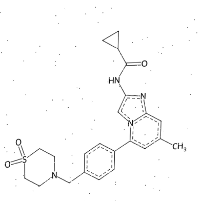 Cc1cc(-c2ccc(CN3CCS(=O)(=O)CC3)cc2)n2cc(NC(=O)C3CC3)nc2c1